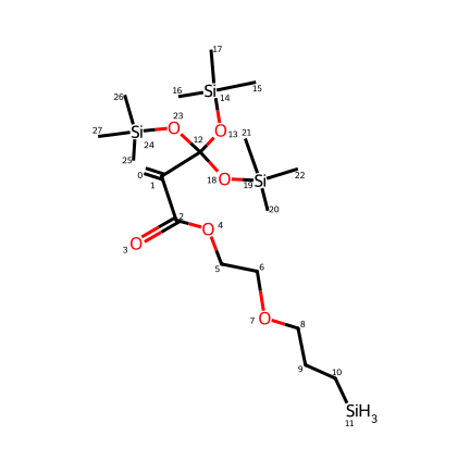 C=C(C(=O)OCCOCCC[SiH3])C(O[Si](C)(C)C)(O[Si](C)(C)C)O[Si](C)(C)C